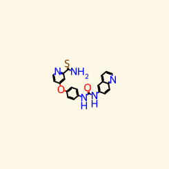 NC(=S)c1cc(Oc2ccc(NC(=O)Nc3ccc4ncccc4c3)cc2)ccn1